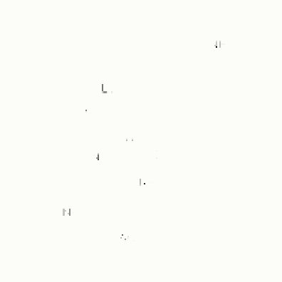 CCO.COc1nccnc1NS(=O)(=O)c1ccc(N)cc1